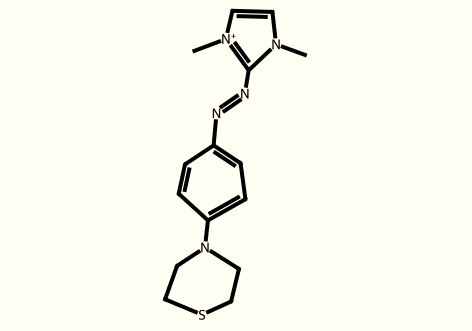 Cn1cc[n+](C)c1/N=N/c1ccc(N2CCSCC2)cc1